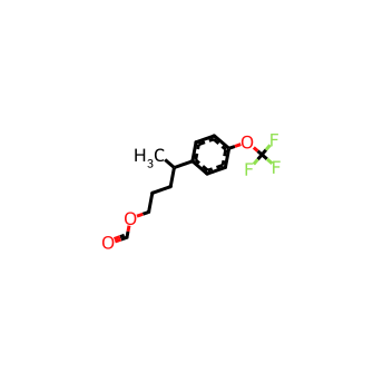 CC(CCCOC=O)c1ccc(OC(F)(F)F)cc1